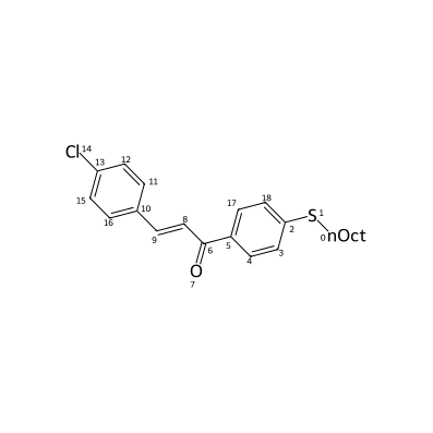 CCCCCCCCSc1ccc(C(=O)C=Cc2ccc(Cl)cc2)cc1